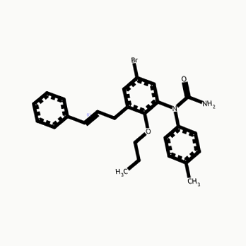 CCCOc1c(C/C=C/c2ccccc2)cc(Br)cc1N(C(N)=O)c1ccc(C)cc1